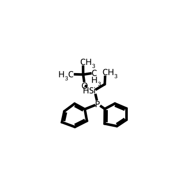 CC[SiH](OC(C)(C)C)P(c1ccccc1)c1ccccc1